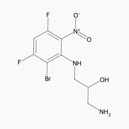 NCC(O)CNc1c(Br)c(F)cc(F)c1[N+](=O)[O-]